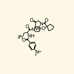 COC1(C(=O)N2CC(=O)C3C2CCN3C(=O)C(CC(C)C)NC(=O)c2ccc(N(C)C)cc2)CCCC1